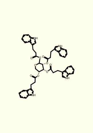 O=C(CCc1c[nH]c2ccccc12)OC1OC[C@@H](OC(=O)CCc2c[nH]c3ccccc23)[C@@H](OC(=O)CCc2c[nH]c3ccccc23)[C@H]1OC(=O)CCc1c[nH]c2ccccc12